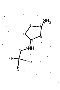 NC1CCC(NCC(F)(F)F)C1